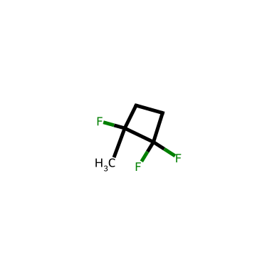 CC1(F)CCC1(F)F